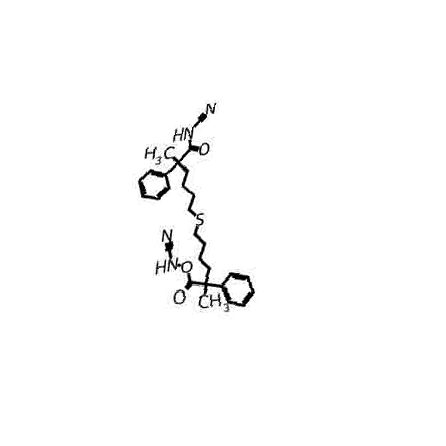 CC(CCCCSCCCCC(C)(C(=O)ONC#N)c1ccccc1)(C(=O)NC#N)c1ccccc1